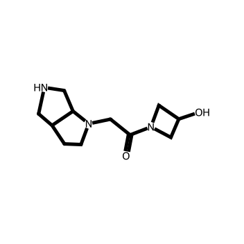 O=C(CN1CCC2CNCC21)N1CC(O)C1